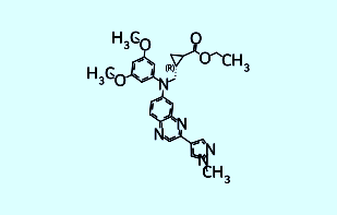 CCOC(=O)C1C[C@H]1CN(c1cc(OC)cc(OC)c1)c1ccc2ncc(-c3cnn(C)c3)nc2c1